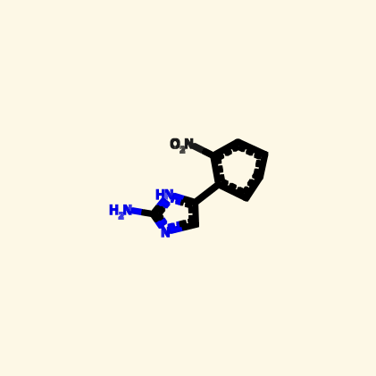 Nc1ncc(-c2ccccc2[N+](=O)[O-])[nH]1